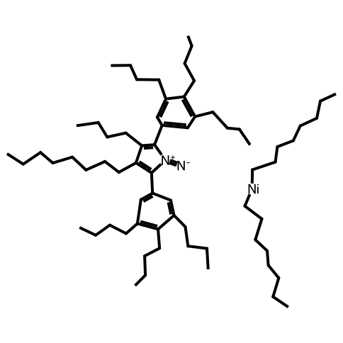 CCCCCCCCC1=C(c2cc(CCCC)c(CCCC)c(CCCC)c2)[N+](=[N-])C(c2cc(CCCC)c(CCCC)c(CCCC)c2)=C1CCCC.CCCCCCC[CH2][Ni][CH2]CCCCCCC